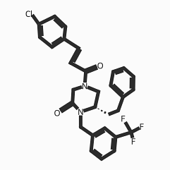 O=C(/C=C/c1ccc(Cl)cc1)N1CC(=O)N(Cc2cccc(C(F)(F)F)c2)[C@@H](CCc2ccccc2)C1